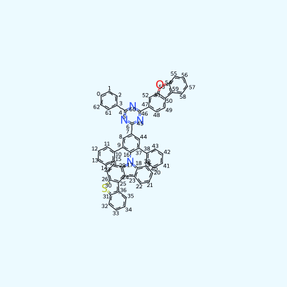 c1ccc(-c2nc(-c3cc(-c4ccccc4)c(-n4c5ccccc5c5c6c(ccc54)sc4ccccc46)c(-c4ccccc4)c3)nc(-c3ccc4c(c3)oc3ccccc34)n2)cc1